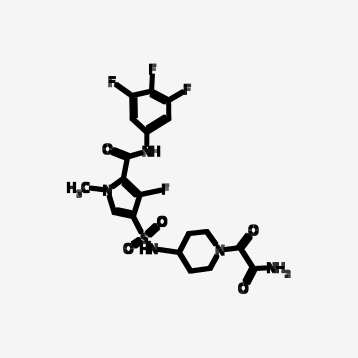 Cn1cc(S(=O)(=O)NC2CCN(C(=O)C(N)=O)CC2)c(F)c1C(=O)Nc1cc(F)c(F)c(F)c1